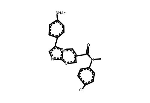 CC(=O)Nc1ccc(-c2cnc3ncc(C(=O)N(C)c4ccc(Cl)cc4)cn23)cc1